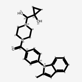 Cc1cc2ccccc2n1-c1ccc(C(=O)N2CCN(C(O)C3(O)CC3)CC2)cc1